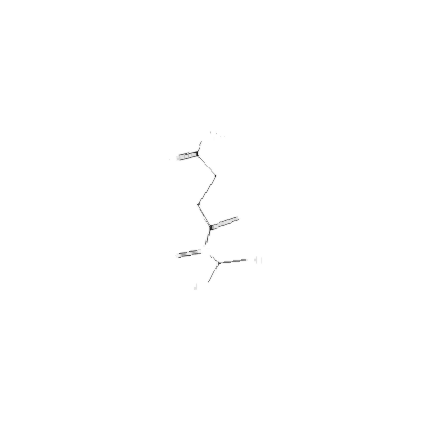 CCCCC(O)[PH](=O)C(=O)CCC(=O)OC